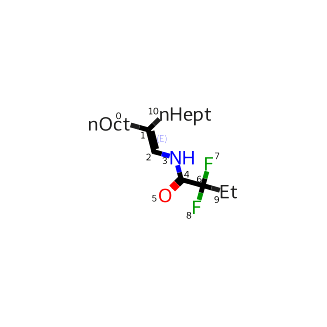 CCCCCCCC/C(=C/NC(=O)C(F)(F)CC)CCCCCCC